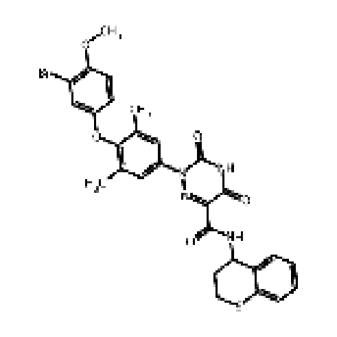 COc1ccc(Oc2c(C)cc(-n3nc(C(=O)NC4CCSc5ccccc54)c(=O)[nH]c3=O)cc2C)cc1Br